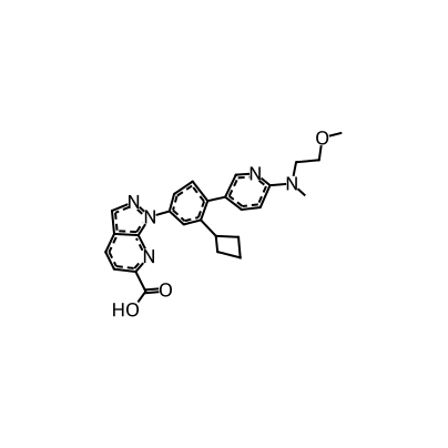 COCCN(C)c1ccc(-c2ccc(-n3ncc4ccc(C(=O)O)nc43)cc2C2CCC2)cn1